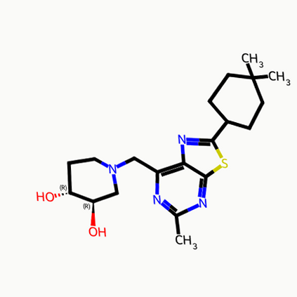 Cc1nc(CN2CC[C@@H](O)[C@H](O)C2)c2nc(C3CCC(C)(C)CC3)sc2n1